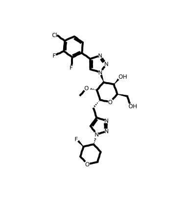 CO[C@@H]1[C@@H](n2cc(-c3ccc(Cl)c(F)c3F)nn2)[C@@H](O)[C@@H](CO)O[C@@H]1Cc1cn([C@@H]2CCOC[C@H]2F)nn1